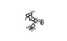 C#Cc1c(F)ccc2cc(O)cc(N3CCc4c(nc(OCC56CCCN5CCC6)nc4N4C[C@H]5CC(C)(O)[C@@H](C4)N5C(=O)C=C)C3)c12